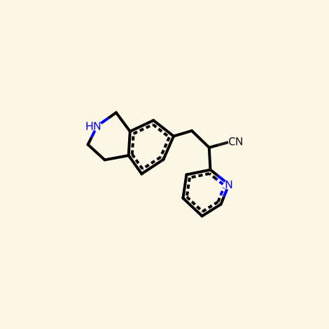 N#CC(Cc1ccc2c(c1)CNCC2)c1ccccn1